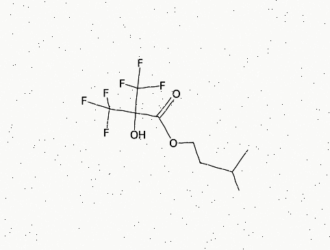 CC(C)CCOC(=O)C(O)(C(F)(F)F)C(F)(F)F